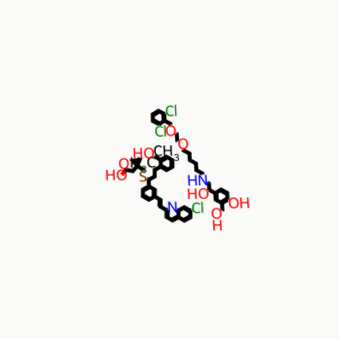 CC(C)(O)c1ccccc1CCC(SCC1(CC(=O)O)CC1)c1cccc(C=Cc2ccc3ccc(Cl)cc3n2)c1.OCc1cc(C(O)CNCCCCCCOCCOCc2c(Cl)cccc2Cl)ccc1O